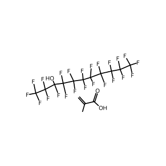 C=C(C)C(=O)O.OC(F)(C(F)(F)C(F)(F)F)C(F)(F)C(F)(F)C(F)(F)C(F)(F)C(F)(F)C(F)(F)C(F)(F)C(F)(F)F